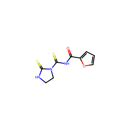 O=C(NC(=S)N1CCNC1=S)c1ccco1